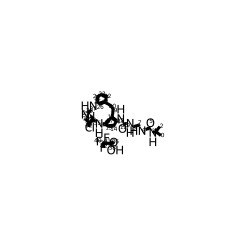 CC(C)NC(=O)NCCNC(=O)Nc1ccc2cc1CCc1cccc(c1)Nc1ncc(Cl)c(n1)N2.O=C(O)C(F)(F)F